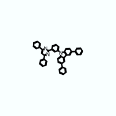 c1ccc(-c2ccc3c(c2)c2cc(-c4ccccc4)ccc2n3-c2cccc(-c3nc(-c4ccccc4)cc(-c4ccccc4)n3)c2)cc1